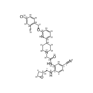 N#Cc1ccc(NC[C@@H]2CCO2)c(NC(=O)CN2CCC(c3cccc(OCc4ccc(Cl)cc4F)n3)CC2)c1